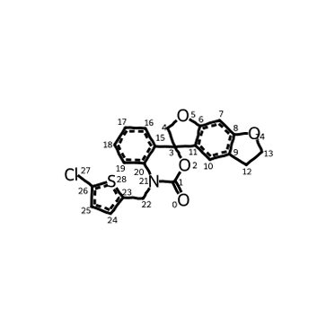 O=C1OC2(COc3cc4c(cc32)CCO4)c2ccccc2N1Cc1ccc(Cl)s1